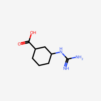 N=C(N)NC1CCCC(C(=O)O)C1